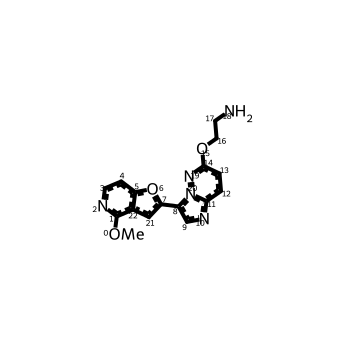 COc1nccc2oc(-c3cnc4ccc(OCCN)nn34)cc12